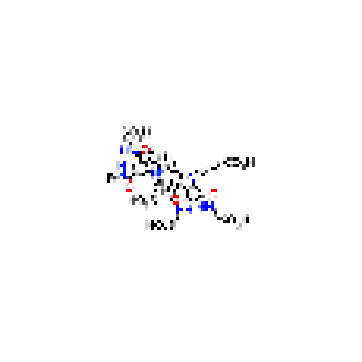 CCNC(=O)c1cc(C(=O)NCCS(=O)(=O)O)c2c(c1)[N+](CCCS(=O)(=O)O)=C(/C=C/C=C1/N(CCCCCC(=O)O)c3cc(C(=O)NCCS(=O)(=O)O)cc(C(=O)NCCS(=O)(=O)O)c3C1(C)C)C2(C)C